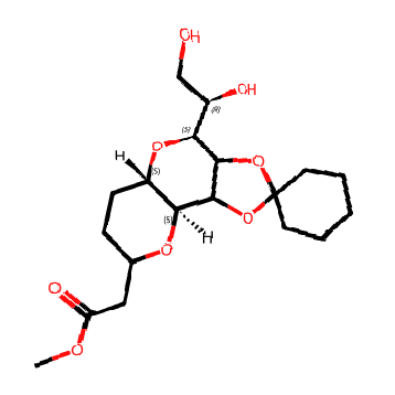 COC(=O)CC1CC[C@@H]2O[C@@H]([C@H](O)CO)C3OC4(CCCCC4)OC3[C@H]2O1